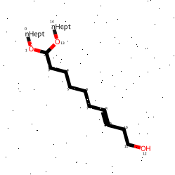 CCCCCCCOC(CCCCC/C=C/CCO)OCCCCCCC